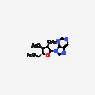 CC(=O)OC[C@H]1O[C@@H](n2cnc3cncnc32)[C@@H](OC(C)=O)[C@@H]1OC(C)=O